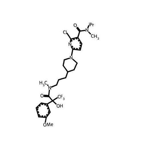 COc1cccc(C(O)(C(=O)N(C)CCCC2CCN(c3ccc(C(=O)N(C)C(C)C)c(Cl)n3)CC2)C(F)(F)F)c1